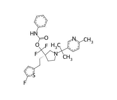 Cc1ccc(C(C)(C)N2CC[C@@](CCc3ccc(F)s3)(C(F)(F)OC(=O)Nc3ccccc3)C2)cn1